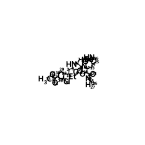 CC[C@@H](CC(=O)N[C@@H](CC(C)(C)C)C(=O)NC(C[C@@H]1CCNC1=O)C(=O)C(=O)NC1CC1)c1ccc(S(C)(=O)=O)cc1Cl